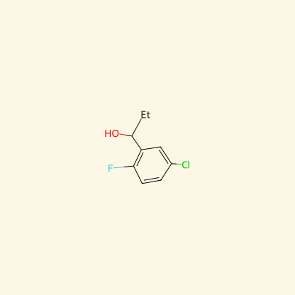 CCC(O)c1cc(Cl)ccc1F